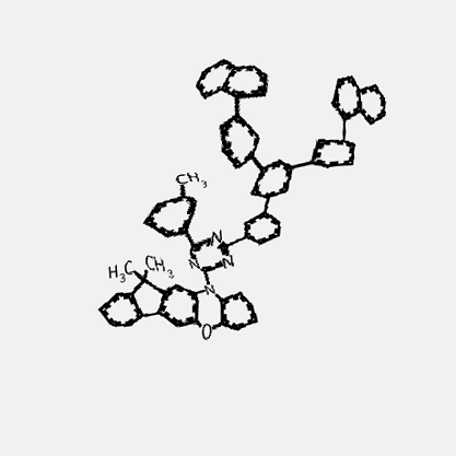 Cc1cccc(-c2nc(-c3cccc(-c4cc(-c5cccc(-c6cccc7ccccc67)c5)cc(-c5cccc(-c6cccc7ccccc67)c5)c4)c3)nc(N3c4ccccc4Oc4cc5c(cc43)C(C)(C)c3ccccc3-5)n2)c1